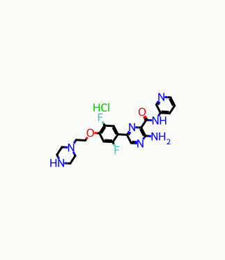 Cl.Nc1ncc(-c2cc(F)c(OCCN3CCNCC3)cc2F)nc1C(=O)Nc1cccnc1